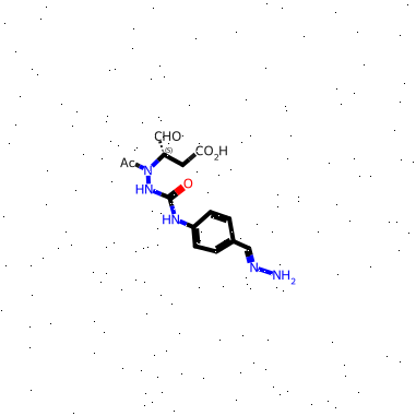 CC(=O)N(NC(=O)Nc1ccc(C=NN)cc1)[C@H]([C]=O)CC(=O)O